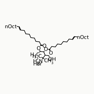 Br.CCCCCCCCC=CCCCCCCCC(=O)OC(C)C(OC(=O)CCCCCCCC=CCCCCCCCC)C(CO)C(C)(C)N